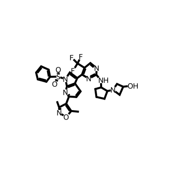 Cc1noc(C)c1-c1ccc2c(-c3nc(NC4CCCC4N4CC(O)C4)ncc3C(F)(F)F)cn(S(=O)(=O)c3ccccc3)c2n1